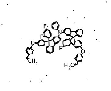 C=Cc1ccc(Oc2ccc(C3(c4ccc(F)cc4F)c4ccccc4-c4ccc(N(c5ccccc5)c5ccc6c(c5)C(c5ccc(Oc7ccc(C=C)cc7)cc5)(c5ccc(F)cc5F)c5ccccc5-6)cc43)cc2)cc1